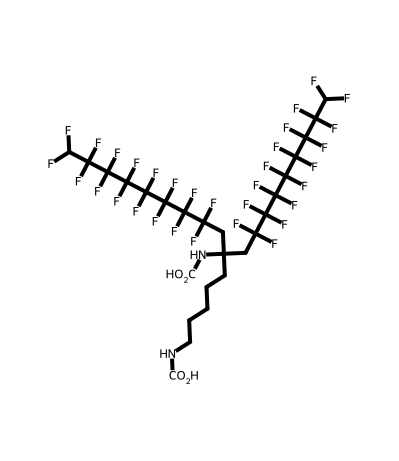 O=C(O)NCCCCCC(CC(F)(F)C(F)(F)C(F)(F)C(F)(F)C(F)(F)C(F)(F)C(F)(F)C(F)F)(CC(F)(F)C(F)(F)C(F)(F)C(F)(F)C(F)(F)C(F)(F)C(F)(F)C(F)F)NC(=O)O